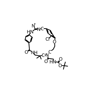 C=N/C1=N\Cc2ccc(c(Cl)c2)OCCCN(C(=O)CNC(=O)OC(C)(C)C)CC(C)(C)CNC(=O)c2ccc(cc2)N1